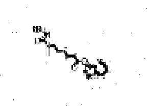 CC(C)(C)OC(=O)NCCCCCC(=O)On1nnc2cccnc21